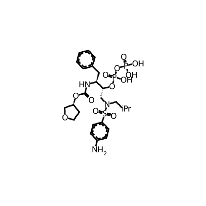 CC(C)CN(C[C@@H](OP(=O)(O)OP(=O)(O)O)[C@H](Cc1ccccc1)NC(=O)O[C@H]1CCOC1)S(=O)(=O)c1ccc(N)cc1